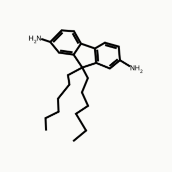 CCCCCCC1(CCCCCC)c2cc(N)ccc2-c2ccc(N)cc21